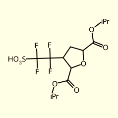 CC(C)OC(=O)C1CC(C(F)(F)C(F)(F)S(=O)(=O)O)C(C(=O)OC(C)C)O1